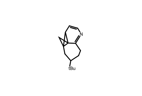 CC(C)(C)C1CCC2=NC=CC3C4(C1)CC234